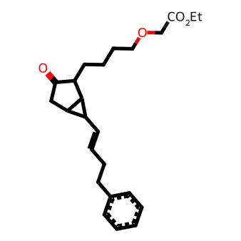 CCOC(=O)COCCCCC1C(=O)CC2C(C=CCCc3ccccc3)C12